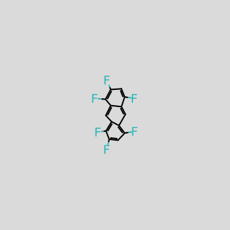 Fc1cc(F)c2cc3c(F)cc(F)c(F)c3cc2c1F